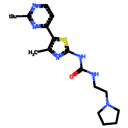 Cc1nc(NC(=O)NCCN2CCCC2)sc1-c1ccnc(C(C)(C)C)n1